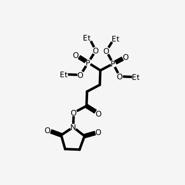 CCOP(=O)(OCC)C(CCC(=O)ON1C(=O)CCC1=O)P(=O)(OCC)OCC